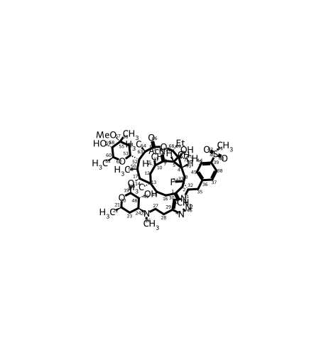 C=C1CC[C@@H]2[C@@H](C)/C(=N/C(C)=O)[C@H](C)C[C@@](C)(CC1)[C@H](O[C@@H]1O[C@H](C)C[C@H](N(C)CCc3cn([C@H](CF)Cc4ccc(S(C)(=O)=O)cc4)nn3)[C@H]1O)[C@@H](C)[C@H](C1C[C@@](C)(OC)[C@@H](O)[C@H](C)O1)[C@@H](C)C(=O)O[C@H](CC)[C@@]2(C)O